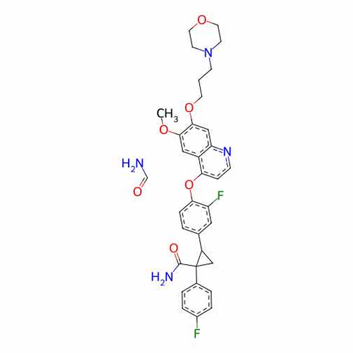 COc1cc2c(Oc3ccc(C4CC4(C(N)=O)c4ccc(F)cc4)cc3F)ccnc2cc1OCCCN1CCOCC1.NC=O